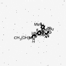 COc1ccc(CN(c2scnc2C(=O)OC(C)(C)C)S(=O)(=O)c2ccc(NC(=O)CC(=N)N(C)O)c(F)c2)cc1